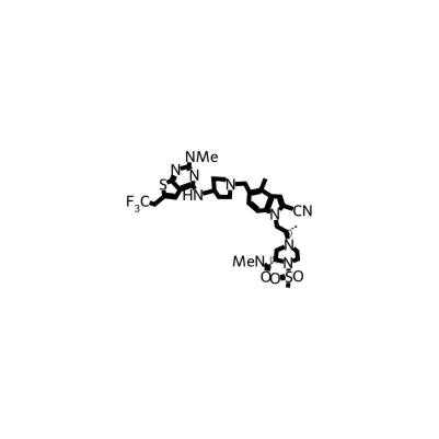 CNC(=O)[C@@H]1CN([C@@H](C)Cn2c(C#N)cc3c(C)c(CN4CCC(Nc5nc(NC)nc6sc(CC(F)(F)F)cc56)CC4)ccc32)CCN1S(C)(=O)=O